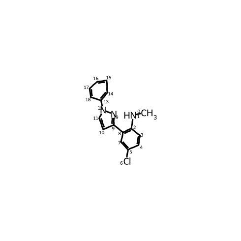 CNc1ccc(Cl)cc1-c1ccn(-c2ccccc2)n1